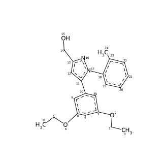 CCOc1cc(OCC)cc(-c2cc(CO)nn2-c2ccccc2C)c1